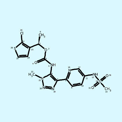 C[C@@H](OC(=O)Nc1c(-c2ccc(NS(C)(=O)=O)cn2)nnn1C)c1ccsc1Cl